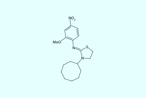 COc1cc([N+](=O)[O-])ccc1/N=C1\SCCN1C1CCCCCCC1